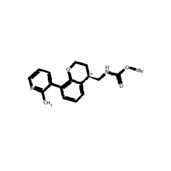 Cc1ncccc1-c1cccc2c1OCC[C@H]2CNC(=O)OC(C)(C)C